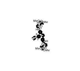 COC(=O)N[C@H](C(=O)N1CCC[C@H]1C(=O)Nc1ccc([C@H]2CC[C@H](c3ccc4nc([C@@H]5CCCN5C(=O)[C@@H](NC(=O)OC)[C@@H](C)OC)[nH]c4c3)N2c2cc(F)c(N3CCS(C)(C)CC3)c(F)c2)cc1)[C@@H](C)OC